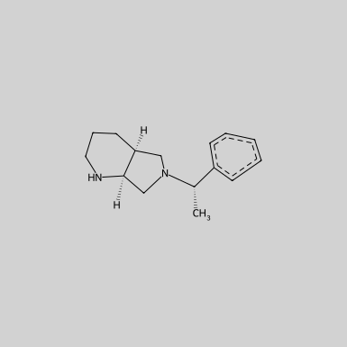 C[C@@H](c1ccccc1)N1C[C@@H]2CCCN[C@@H]2C1